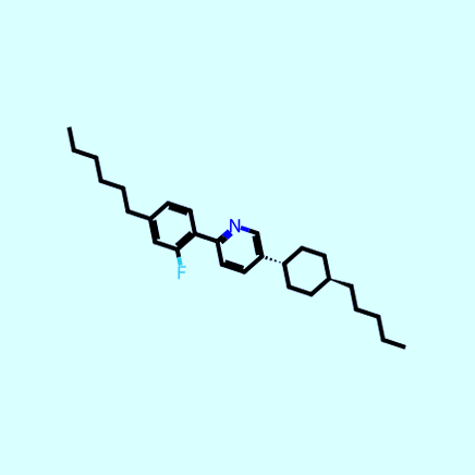 CCCCCCc1ccc(-c2ccc([C@H]3CC[C@H](CCCCC)CC3)cn2)c(F)c1